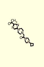 CC(=O)c1cnc(N2CCN(CC(=O)N3CCN(C4CCC4)CC3)CC2)cn1